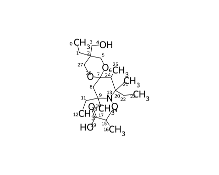 CCC1(CO)COC2(CC(C)(CC)N(OC(C)C(=O)O)C(C)(CC)C2C)OC1